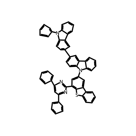 c1ccc(-c2cc(-c3ccccc3)nc(-c3cc(-n4c5ccccc5c5cc(-c6ccc7c(c6)c6ccccc6n7-c6ccccc6)ccc54)cc4c3sc3ccccc34)n2)cc1